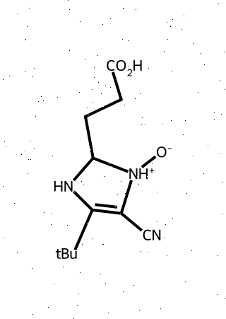 CC(C)(C)C1=C(C#N)[NH+]([O-])C(CCC(=O)O)N1